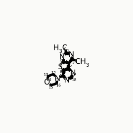 Cc1nc(C)c2c(n1)sc1c(N3CCOCC3)ncnc12